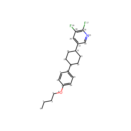 CCCCOc1ccc(C2CCC(c3cnc(F)c(F)c3)CC2)cc1